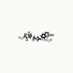 CN(C)C(=O)[C@H]1C[C@@H](CC(=O)N2CC(Oc3ccc4c(c3C(=O)O)OB(O)CC4)C2)CN1